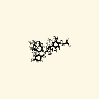 [2H]c1c([2H])c(C([2H])([2H])NC(=O)N(Cc2ccc(F)cc2)C2CC([2H])([2H])N(C([2H])([2H])[2H])C([2H])([2H])C2)c([2H])c([2H])c1OCC(C)C